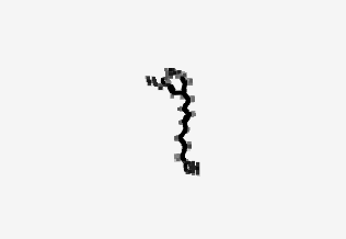 C=CC(CC/C=C/CCCCO)CC(C)C